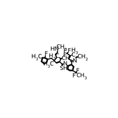 C=C/N=C(\C=C(/C)C(F)(F)F)c1cc(C(C)(F)F)ccc1NC(=S)/C(=C/C(C)(CCCNC)Cc1cccc(C)c1F)C(=C)C